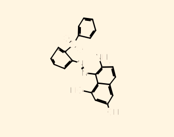 Cc1cc(O)c2c(/N=N/c3ccccc3S(=O)(=O)c3ccccc3)c(N)ccc2c1